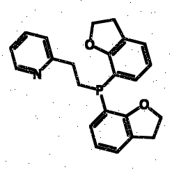 c1ccc(CCP(c2cccc3c2OCC3)c2cccc3c2OCC3)nc1